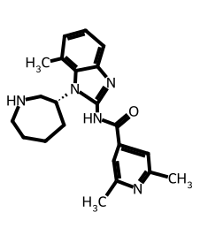 Cc1cc(C(=O)Nc2nc3cccc(C)c3n2[C@@H]2CCCCNC2)cc(C)n1